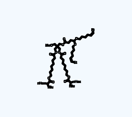 CC/C=C\CCCCOC(CCC(=O)OCC(COC)(COC(=O)CCCCCCCOC(=O)C(CCCC)CCCCCC)COC(=O)CCCCCCCOC(=O)C(CCCC)CCCCCC)OCCCC/C=C\CC